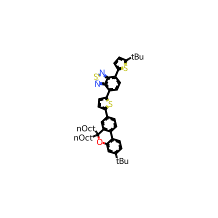 CCCCCCCCC1(CCCCCCCC)Oc2cc(C(C)(C)C)ccc2-c2ccc(-c3ccc(-c4ccc(-c5ccc(C(C)(C)C)s5)c5nsnc45)s3)cc21